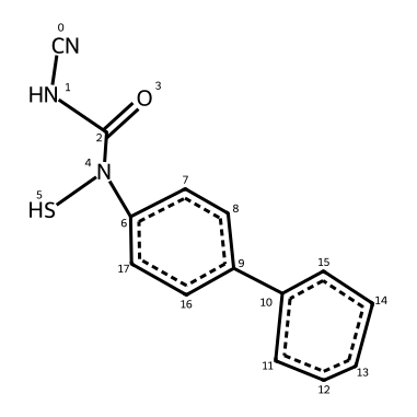 N#CNC(=O)N(S)c1ccc(-c2ccccc2)cc1